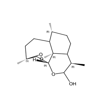 C[C@H]1C(O)O[C@@H]2C[C@]3(C)CCC4[C@H](C)CCC1[C@]42OO3